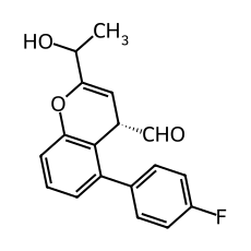 CC(O)C1=C[C@H](C=O)c2c(cccc2-c2ccc(F)cc2)O1